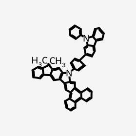 CC1(C)c2ccccc2-c2cc3c4cc5c6ccccc6c6ccccc6c5cc4n(-c4ccc(-c5ccc6c7ccccc7n(-c7ccccc7)c6c5)cc4)c3cc21